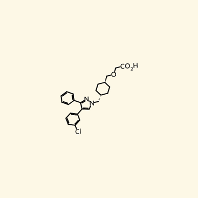 O=C(O)COC[C@H]1CC[C@H](Cn2cc(-c3cccc(Cl)c3)c(-c3ccccc3)n2)CC1